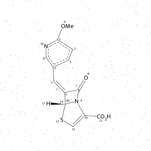 COc1ccc(/C=C2\C(=O)N3C(C(=O)O)=CS[C@H]23)cn1